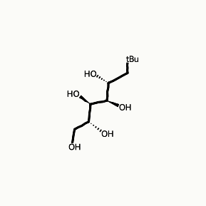 CC(C)(C)C[C@@H](O)[C@@H](O)[C@H](O)[C@H](O)CO